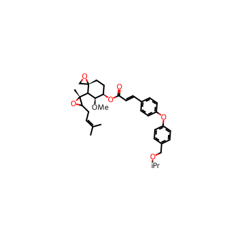 CO[C@H]1C([C@@]2(C)OC2CC=C(C)C)[C@]2(CC[C@H]1OC(=O)/C=C/c1ccc(Oc3ccc(COC(C)C)cc3)cc1)CO2